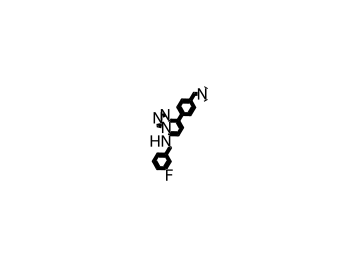 CN(C)Cc1ccc(-c2ccc(NCc3cccc(F)c3)n3cnnc23)cc1